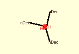 CCCCCCCCCCCCCCCCCCCCCCCCCCCC(O)OP(=O)(OC(O)CCCCCCCCCCCCCCCCCCCCCCCCCCC)OC(O)CCCCCCCCCCCCCCCCCCCCCCCCCCC